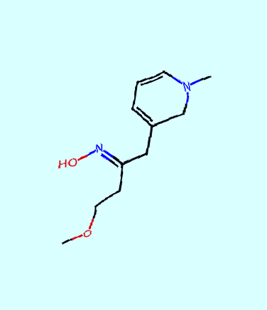 COCCC(CC1=CC=CN(C)C1)=NO